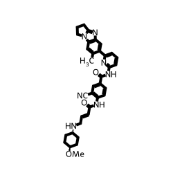 CO[C@H]1CC[C@H](NC/C=C/C(=O)Nc2ccc(C(=O)Nc3cccc(-c4cc5nc6n(c5cc4C)CCC6)n3)cc2C#N)CC1